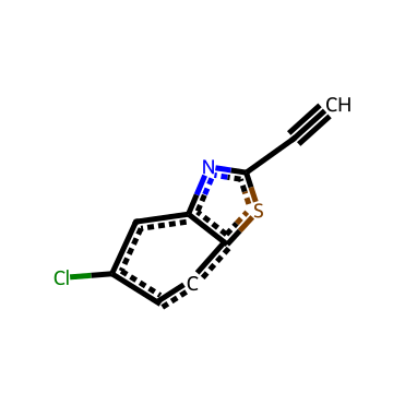 C#Cc1nc2cc(Cl)ccc2s1